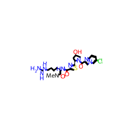 CNC(=O)[C@@H](CCCCNC(=N)N)NC(=O)c1csc([C@H]2C[C@H](O)CN2C(=O)c2cn3cc(Cl)ccc3n2)n1